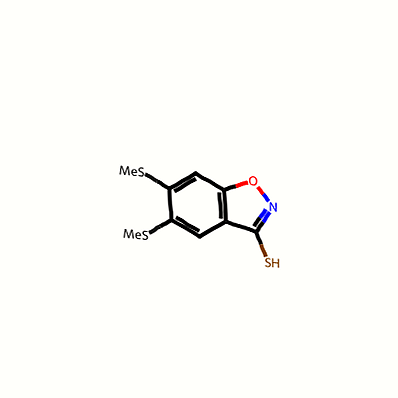 CSc1cc2onc(S)c2cc1SC